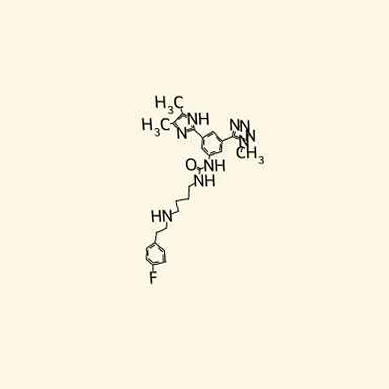 Cc1nc(-c2cc(NC(=O)NCCCCNCCc3ccc(F)cc3)cc(-c3nnnn3C)c2)[nH]c1C